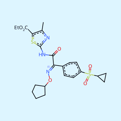 CCOC(=O)c1sc(NC(=O)/C(=N/OC2CCCC2)c2ccc(S(=O)(=O)C3CC3)cc2)nc1C